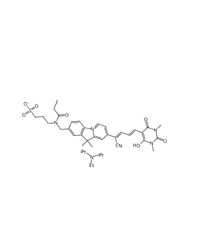 CCN(C(C)C)C(C)C.Cn1c(O)c(/C=C/C=C(\C#N)c2cc[n+]3c(c2)C(C)(C)c2cc(CN(CCCS(=O)(=O)[O-])C(=O)CI)ccc2-3)c(=O)n(C)c1=O